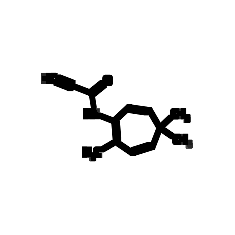 C#CC(=O)NC1=C(C)C=CC(C)(C)C=C1